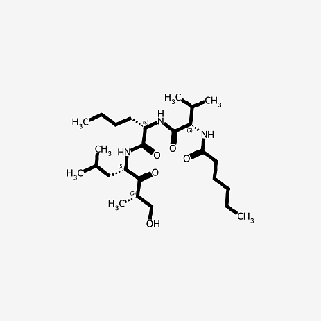 CCCCCC(=O)N[C@H](C(=O)N[C@@H](CCCC)C(=O)N[C@@H](CC(C)C)C(=O)[C@@H](C)CO)C(C)C